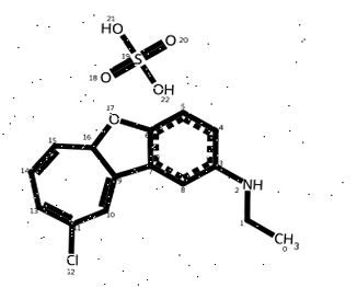 CCNc1ccc2c(c1)C1=CC(Cl)=CC=CC1O2.O=S(=O)(O)O